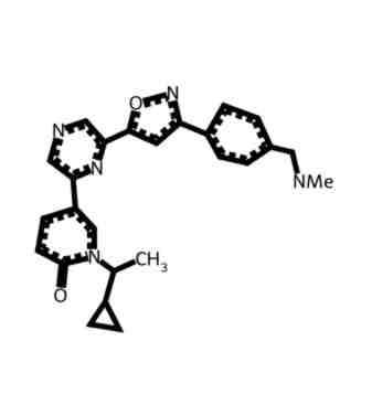 CNCc1ccc(-c2cc(-c3cncc(-c4ccc(=O)n(C(C)C5CC5)c4)n3)on2)cc1